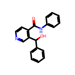 O=C(Nc1ccccc1)c1ccncc1C(O)c1ccccc1